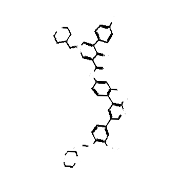 CCc1ccc(-c2cn(CC3CCOCC3)cc(C(=O)Nc3ccc(-c4cc(-c5ccc(OC[C@H]6COCCO6)c(OC)c5)cnc4CC)c(F)c3)c2=O)cc1